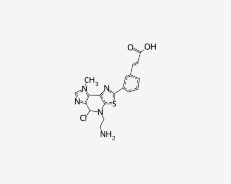 Cn1cnc2c1-c1nc(-c3cccc(C=CC(=O)O)c3)sc1N(CCN)C2Cl